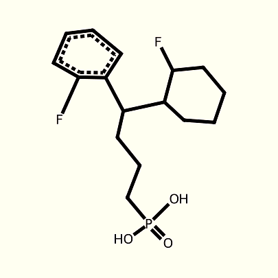 O=P(O)(O)CCCC(c1ccccc1F)C1CCCCC1F